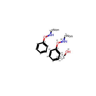 CCCCCCCCCNOc1ccccc1.CCCCCCCCCNOc1ccccc1.O=S(=O)(O)O